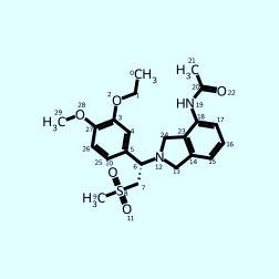 CCOc1cc([C@@H](CS(C)(=O)=O)N2Cc3cccc(NC(C)=O)c3C2)ccc1OC